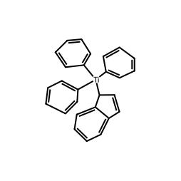 C1=C[CH]([Ti]([c]2ccccc2)([c]2ccccc2)[c]2ccccc2)c2ccccc21